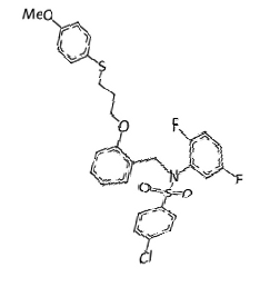 COc1ccc(SCCCOc2ccccc2CN(c2cc(F)ccc2F)S(=O)(=O)c2ccc(Cl)cc2)cc1